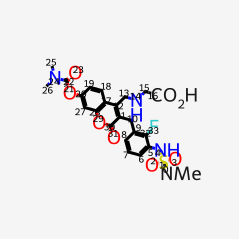 CNS(=O)(=O)Nc1cccc(Cc2c(CNCC(=O)O)c3ccc(OC(=O)N(C)C)cc3oc2=O)c1F